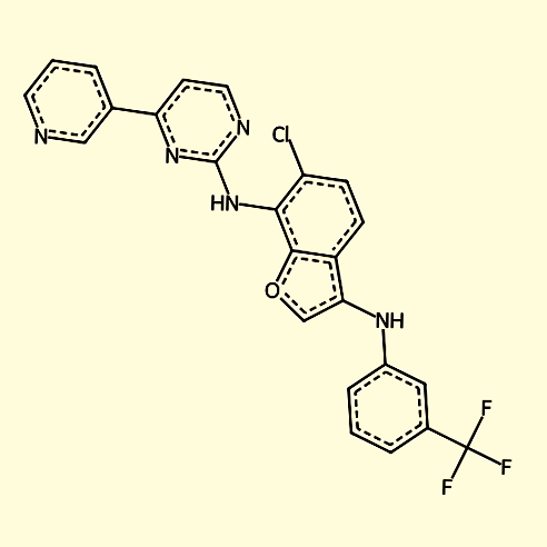 FC(F)(F)c1cccc(Nc2coc3c(Nc4nccc(-c5cccnc5)n4)c(Cl)ccc23)c1